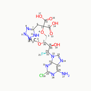 CO[C@H](COC(Cc1nnn[nH]1)(C(=O)O)C(=O)O)[C@@H](O)[C@H](F)n1cnc2c(N)nc(Cl)nc21